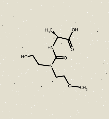 COCCN(CCO)C(=O)N[C@@H](C)C(=O)O